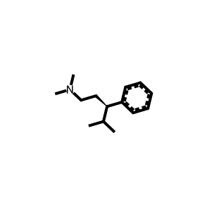 CC(C)[C@@H](CCN(C)C)c1ccccc1